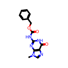 Cn1cnc2c(=O)[nH]c(NC(=O)OCc3ccccc3)nc21